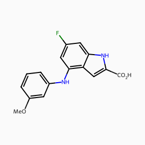 COc1cccc(Nc2cc(F)cc3[nH]c(C(=O)O)cc23)c1